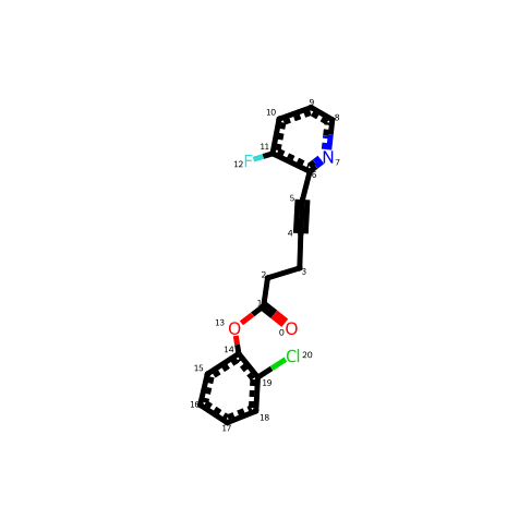 O=C(CCC#Cc1ncccc1F)Oc1ccccc1Cl